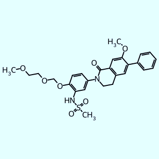 COCCOCOc1ccc(N2CCc3cc(-c4ccccc4)c(OC)cc3C2=O)cc1NS(C)(=O)=O